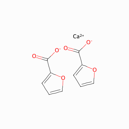 O=C([O-])c1ccco1.O=C([O-])c1ccco1.[Ca+2]